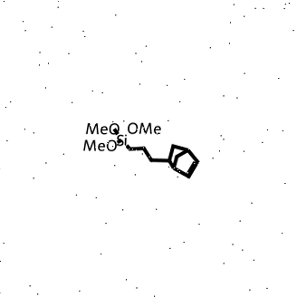 CO[Si](CCCC1CC2C=CC1C2)(OC)OC